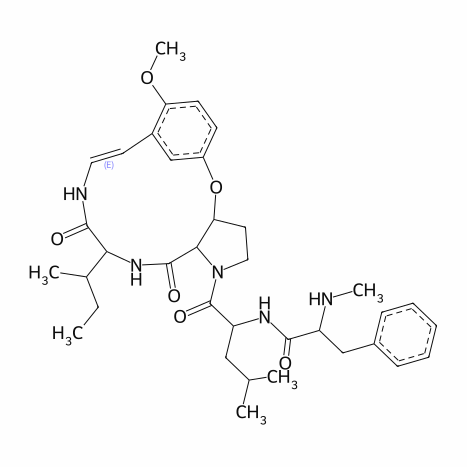 CCC(C)C1NC(=O)C2C(CCN2C(=O)C(CC(C)C)NC(=O)C(Cc2ccccc2)NC)Oc2ccc(OC)c(c2)/C=C/NC1=O